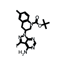 Cc1ccc2c(c1)CC(n1nc(I)c3c(N)ncnc31)CN2C(=O)OC(C)(C)C